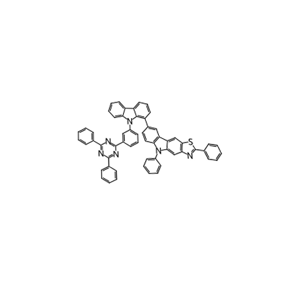 c1ccc(-c2nc(-c3ccccc3)nc(-c3cccc(-n4c5ccccc5c5cccc(-c6ccc7c(c6)c6cc8sc(-c9ccccc9)nc8cc6n7-c6ccccc6)c54)c3)n2)cc1